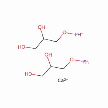 OCC(O)CO[PH-].OCC(O)CO[PH-].[Ca+2]